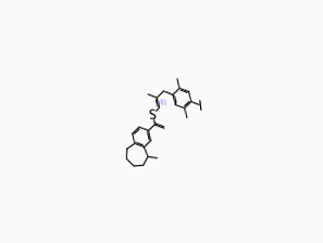 C=C(S/C=C(\C)Cc1cc(C)c(I)cc1C)c1ccc2c(c1)C(C)CCCC2